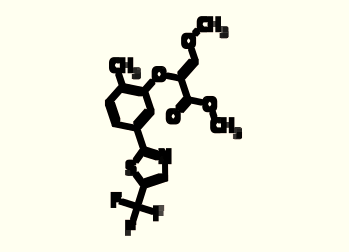 CO/C=C(\Oc1cc(-c2ncc(C(F)(F)F)s2)ccc1C)C(=O)OC